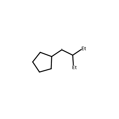 CCC([CH]C1CCCC1)CC